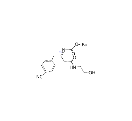 CC(C)(C)OC(=O)/N=C(\CC(=O)NCCO)Cc1ccc(C#N)cc1